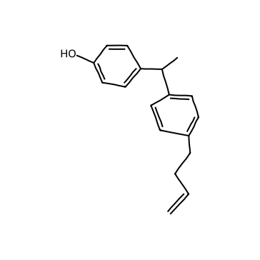 C=CCCc1ccc(C(C)c2ccc(O)cc2)cc1